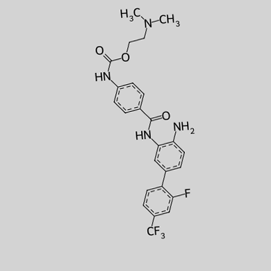 CN(C)CCOC(=O)Nc1ccc(C(=O)Nc2cc(-c3ccc(C(F)(F)F)cc3F)ccc2N)cc1